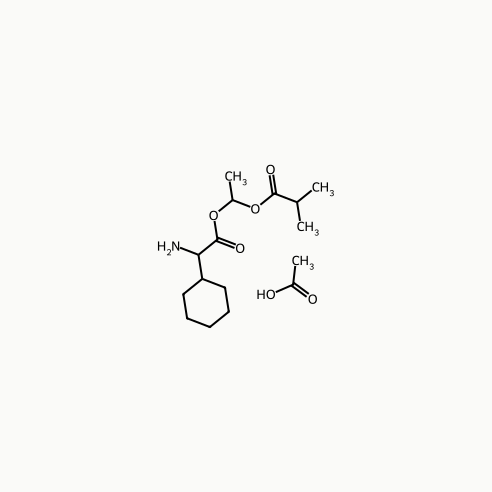 CC(=O)O.CC(OC(=O)C(C)C)OC(=O)C(N)C1CCCCC1